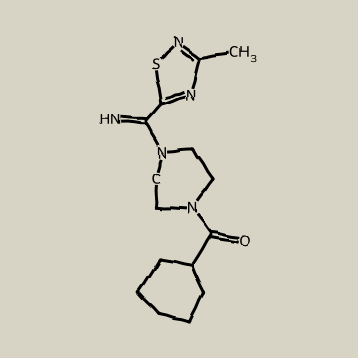 Cc1nsc(C(=N)N2CCN(C(=O)C3CCCCC3)CC2)n1